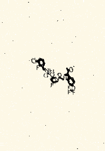 CC(=O)c1cn(CC(=O)N2C[C@H](F)C[C@@H]2OC(=O)NCc2cccc(Cl)c2F)c2cc(OC(F)(F)F)ccc12